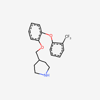 FC(F)(F)c1ccccc1Oc1ccccc1OCC1CCNCC1